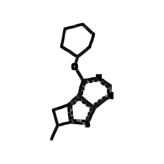 CC1Cc2c1sc1ncnc(OC3CCCCC3)c21